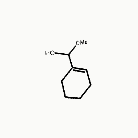 COC(O)C1=CCCCC1